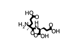 C[C@](N)(CCC(=O)O)C(=O)N[C@@H](CCC(=O)O)C(=O)O